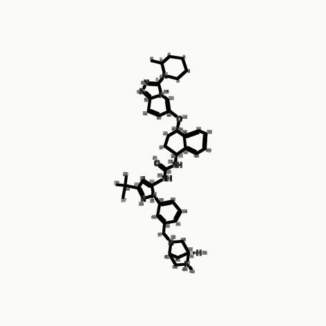 CC1CCCCN1c1nnc2ccc(O[C@@H]3CC[C@H](NC(=O)Nc4cc(C(C)(C)C)nn4-c4cccc(CN5C[C@@H]6CC5CN6C)c4)c4ccccc43)cn12